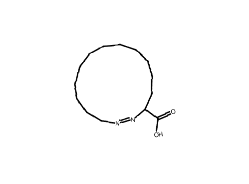 O=C(O)C1CCCCCCCCCCCCN=N1